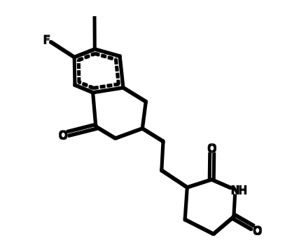 Cc1cc2c(cc1F)C(=O)CC(CCC1CCC(=O)NC1=O)C2